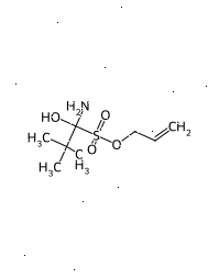 C=CCOS(=O)(=O)C(N)(O)C(C)(C)C